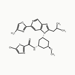 CO[C@H]1C[C@H](NC(=O)c2ncc(Cl)s2)C[C@H](n2c(CC(C)C)nc3cnc(-c4nc(C)co4)cc32)C1